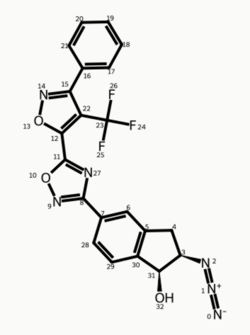 [N-]=[N+]=N[C@@H]1Cc2cc(-c3noc(-c4onc(-c5ccccc5)c4C(F)(F)F)n3)ccc2[C@@H]1O